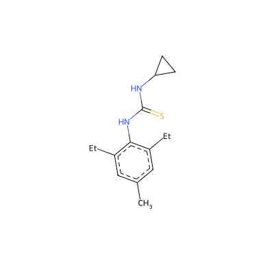 CCc1cc(C)cc(CC)c1NC(=S)NC1CC1